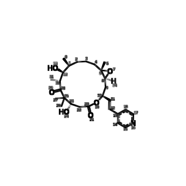 C[C@H]1CCC[C@]2(C)O[C@H]2C[C@@H](C=Cc2ccncc2)OC(=O)C[C@H](O)C(C)(C)C(=O)[C@H](C)[C@H]1O